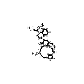 C=CC(=O)N1CCN(c2cc3cnc4nc3n(c2=O)CCN(C)CCn2cc(cn2)N4)c2cccc(C)c21